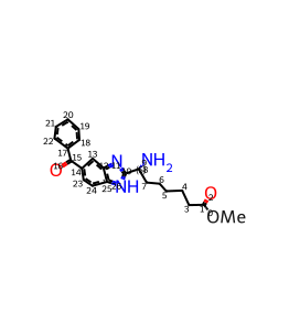 COC(=O)CCCCC[C@H](N)c1nc2cc(C(=O)c3ccccc3)ccc2[nH]1